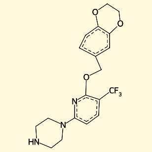 FC(F)(F)c1ccc(N2CCNCC2)nc1OCc1ccc2c(c1)OCCO2